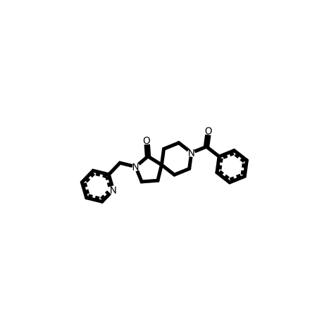 O=C(c1ccccc1)N1CCC2(CC1)CCN(Cc1ccccn1)C2=O